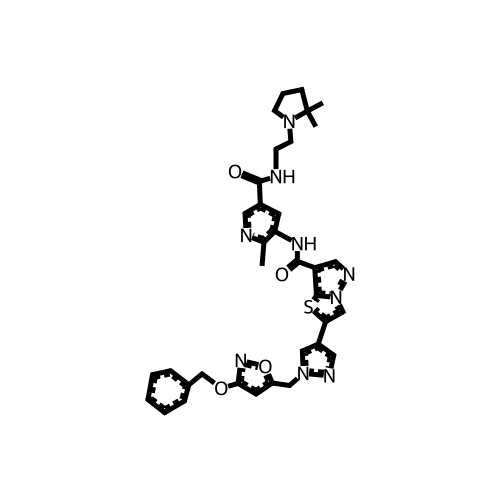 Cc1ncc(C(=O)NCCN2CCCC2(C)C)cc1NC(=O)c1cnn2cc(-c3cnn(Cc4cc(OCc5ccccc5)no4)c3)sc12